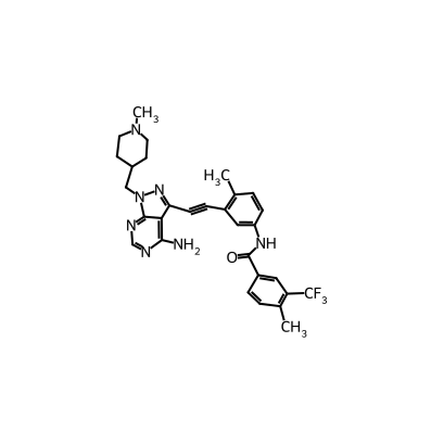 Cc1ccc(NC(=O)c2ccc(C)c(C(F)(F)F)c2)cc1C#Cc1nn(CC2CCN(C)CC2)c2ncnc(N)c12